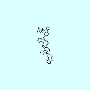 CC1(C)c2ccccc2-c2ccc(-n3c4ccccc4c4c5oc6c(ccc7c6c6ccccc6n7-c6ccc7oc8ccccc8c7c6)c5ccc43)cc21